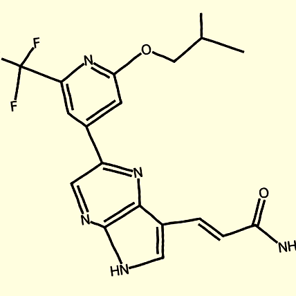 CC(C)COc1cc(-c2cnc3[nH]cc(/C=C/C(N)=O)c3n2)cc(C(F)(F)F)n1